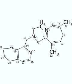 CCN(CC1=NC=C(C)CC=C1C)Cc1nccc2c1CCCC2